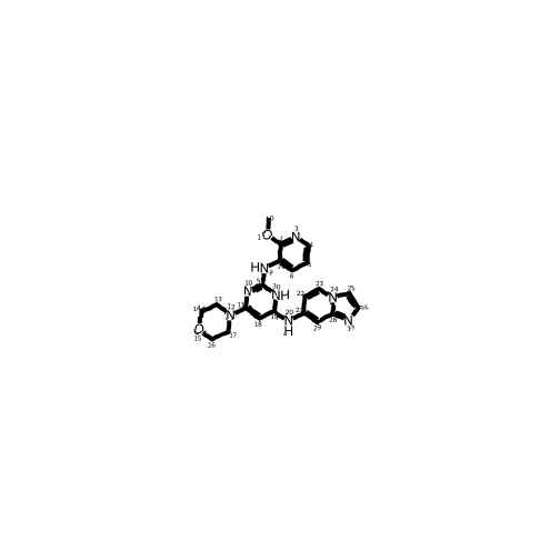 COc1ncccc1NC1=NC(N2CCOCC2)=CC(Nc2ccn3ccnc3c2)N1